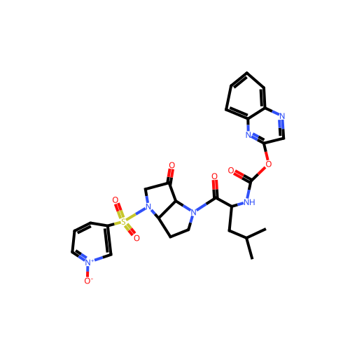 CC(C)CC(NC(=O)Oc1cnc2ccccc2n1)C(=O)N1CCC2C1C(=O)CN2S(=O)(=O)c1ccc[n+]([O-])c1